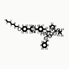 CCCCCCCOc1ccc(-c2cnc(-c3ccc(C[C@H](NC(=O)OCc4ccccc4)C(=O)N4CCC[C@H]4C(=O)OC(C)(C)C)cc3)nc2)cc1